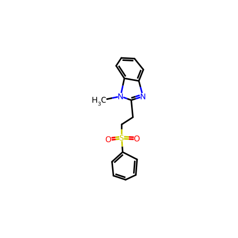 Cn1c(CCS(=O)(=O)c2ccccc2)nc2ccccc21